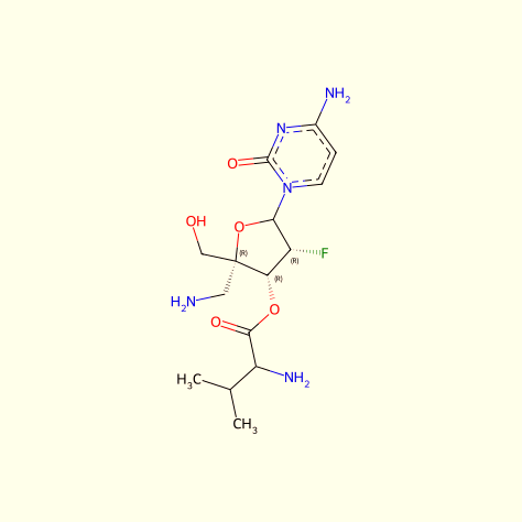 CC(C)C(N)C(=O)O[C@H]1[C@@H](F)C(n2ccc(N)nc2=O)O[C@]1(CN)CO